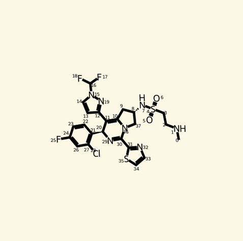 CNCCS(=O)(=O)N[C@H]1CC2=C(c3ccn(C(F)F)n3)[C@H](c3ccc(F)cc3Cl)N=C(c3nccs3)N2C1